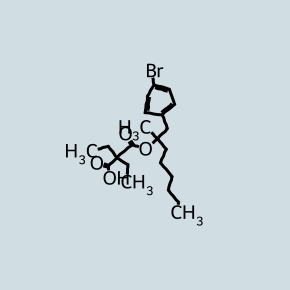 CCCCCCC(C)(Cc1ccc(Br)cc1)OC(=O)C(CC)(CC)C(=O)O